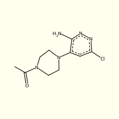 CC(=O)N1CCN(c2cc(Cl)nnc2N)CC1